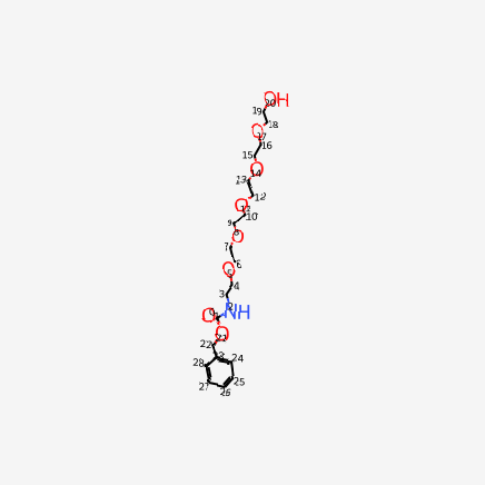 O=C(NCCOCCOCCOCCOCCOCCO)OCc1ccccc1